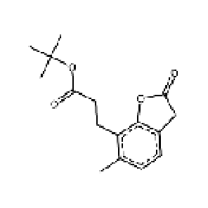 Cc1ccc2c(c1CCC(=O)OC(C)(C)C)OC(=O)C2